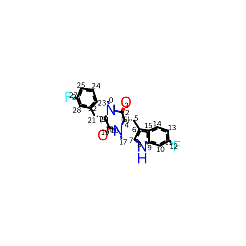 CN1C(=O)[C@H](Cc2c[nH]c3cc(F)ccc23)N(C)C(=O)[C@@H]1Cc1cccc(F)c1